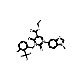 CCOC(=O)c1cn(-c2ccc3c(c2)ncn3C)c(=O)n(Cc2cccc(F)c2C(F)(F)F)c1=O